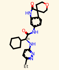 CCc1ccc(N[C@H](C(=O)Nc2ccc3c(c2)NC(=O)C32CCOCC2)C2CCCCC2)nn1